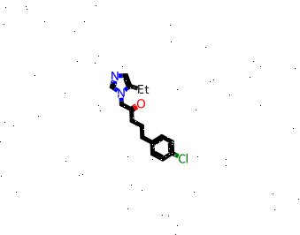 CCc1cncn1CC(=O)CCCc1ccc(Cl)cc1